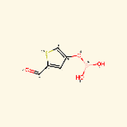 O=Cc1cc(OB(O)O)cs1